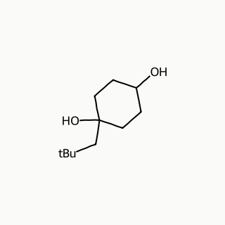 CC(C)(C)CC1(O)CCC(O)CC1